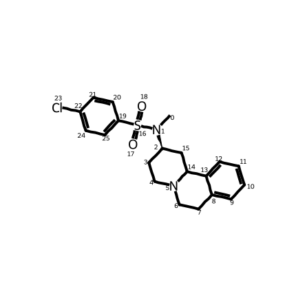 CN([C@@H]1CCN2CCc3ccccc3C2C1)S(=O)(=O)c1ccc(Cl)cc1